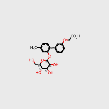 Cc1ccc(-c2cccc(OCC(=O)O)c2)c(O[C@@H]2O[C@H](CO)[C@@H](O)[C@H](O)[C@@H]2O)c1